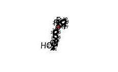 O=C(O)C1(CN2CC3(Cc4ccc(OCc5c(F)cccc5C(F)(F)F)cc4C3)C2)CC1